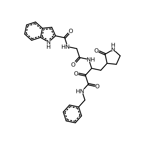 O=C(CNC(=O)c1cc2ccccc2[nH]1)NC(CC1CCNC1=O)C(=O)C(=O)NCc1ccccc1